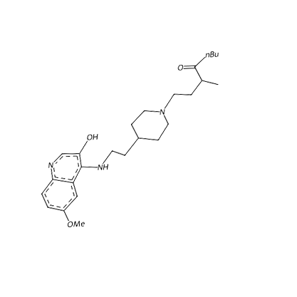 CCCCC(=O)C(C)CCN1CCC(CCNc2c(O)cnc3ccc(OC)cc23)CC1